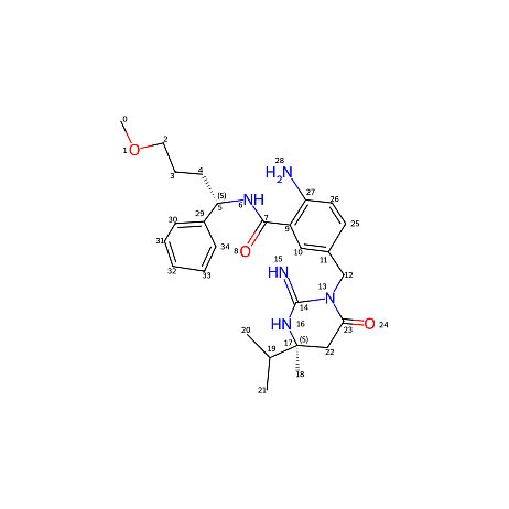 COCCC[C@H](NC(=O)c1cc(CN2C(=N)N[C@](C)(C(C)C)CC2=O)ccc1N)c1ccccc1